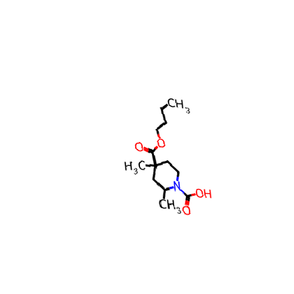 CCCCOC(=O)C1(C)CCN(C(=O)O)C(C)C1